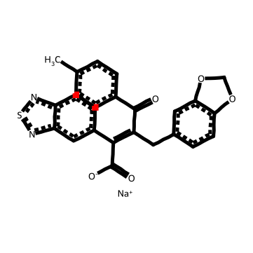 Cc1ccc(C(=O)/C(Cc2ccc3c(c2)OCO3)=C(/C(=O)[O-])c2ccc3nsnc3c2)cc1.[Na+]